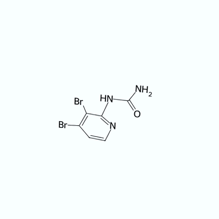 NC(=O)Nc1nccc(Br)c1Br